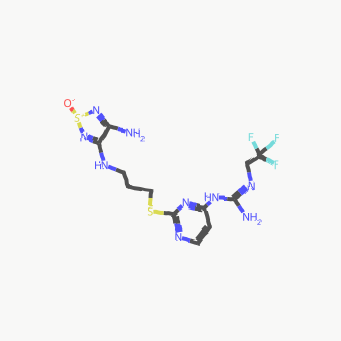 N/C(=N/CC(F)(F)F)Nc1ccnc(SCCCNc2n[s+]([O-])nc2N)n1